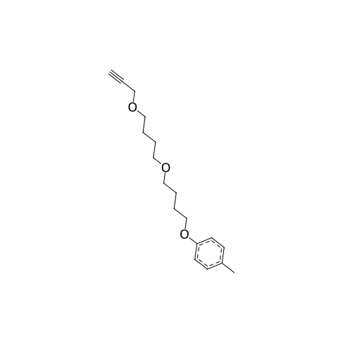 C#CCOCCCCOCCCCOc1ccc(C)cc1